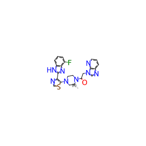 C[C@@H]1CN(c2scnc2-c2nc3c(F)cccc3[nH]2)CCN1C(=O)Cn1cnc2cccnc21